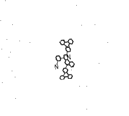 N#Cc1cccc(-c2cc(-c3ccc4c5ccccc5c5ccccc5c4c3)nc3c2cc(-c2ccc4c5ccccc5c5ccccc5c4c2)c2ccccc23)c1